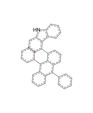 [c]1cc(-c2cccc3[nH]c4ccccc4c23)c2c(-c3ccccc3)c3ccccc3c(-c3ccccc3)c2c1